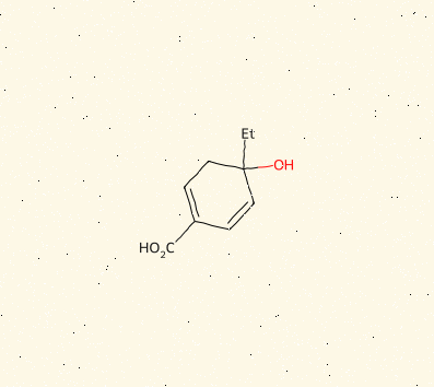 CCC1(O)C=CC(C(=O)O)=CC1